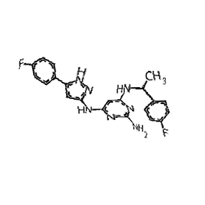 CC(Nc1cc(Nc2cc(-c3ccc(F)cc3)[nH]n2)nc(N)n1)c1ccc(F)cc1